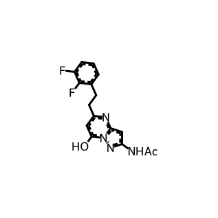 CC(=O)Nc1cc2nc(CCc3cccc(F)c3F)cc(O)n2n1